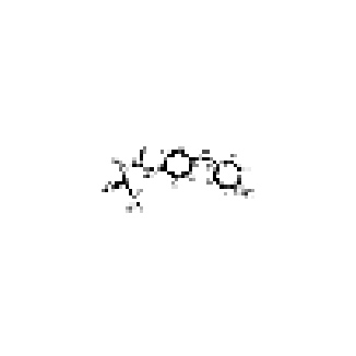 CC(C)OC(=O)C(C)C(C)Oc1ccc(Oc2ccc(Cl)cc2)cc1